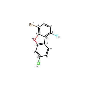 Fc1ccc(Br)c2oc3cc(Cl)ccc3c12